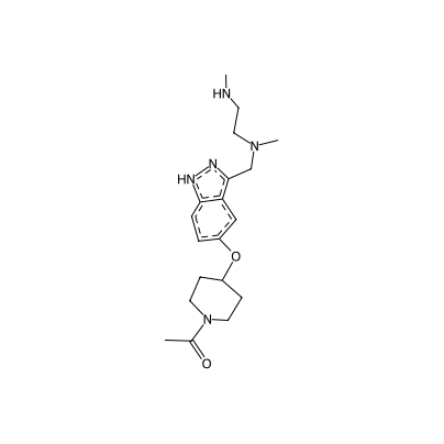 CNCCN(C)Cc1n[nH]c2ccc(OC3CCN(C(C)=O)CC3)cc12